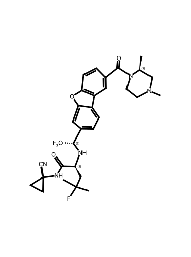 C[C@H]1CN(C)CCN1C(=O)c1ccc2oc3cc([C@H](N[C@@H](CC(C)(C)F)C(=O)NC4(C#N)CC4)C(F)(F)F)ccc3c2c1